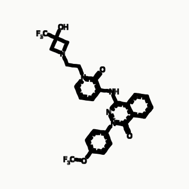 O=c1c(Nc2nn(-c3ccc(OC(F)(F)F)cc3)c(=O)c3ccccc23)cccn1CCN1CC(O)(C(F)(F)F)C1